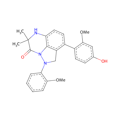 COc1cc(O)ccc1-c1ccc2c3c1CN(c1ccccc1OC)N3C(=O)C(C)(C)N2